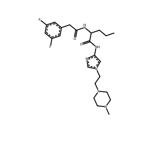 CCCC(NC(=O)Cc1cc(F)cc(F)c1)C(=O)Nc1cn(CCN2CCN(C)CC2)cn1